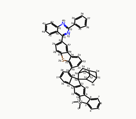 C[Si]1(C)c2ccccc2-c2cc3c(cc21)-c1cccc(-c2cccc4c2sc2ccc(-c5nc(-c6ccccc6)nc6ccccc56)cc24)c1C31C2CC3CC(C2)CC1C3